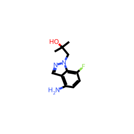 CC(C)(O)Cn1ncc2c(N)ccc(F)c21